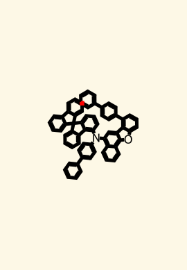 c1ccc(-c2ccc(-c3cccc4oc5c6ccccc6c(N(c6ccc(-c7ccccc7)cc6)c6cccc7c6-c6ccccc6C76c7ccccc7-c7ccccc76)cc5c34)cc2)cc1